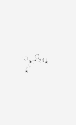 CN(Cc1nc(-c2cnc(NC(=O)OC(C)(C)C)c3cc(Cl)ccc23)sc1C1CCOCC1)C(=O)OC(C)(C)C